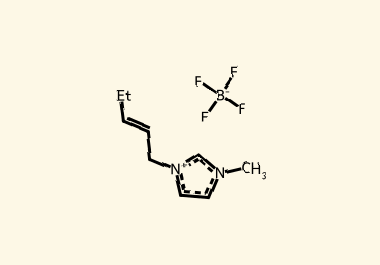 CC/C=C/C[n+]1ccn(C)c1.F[B-](F)(F)F